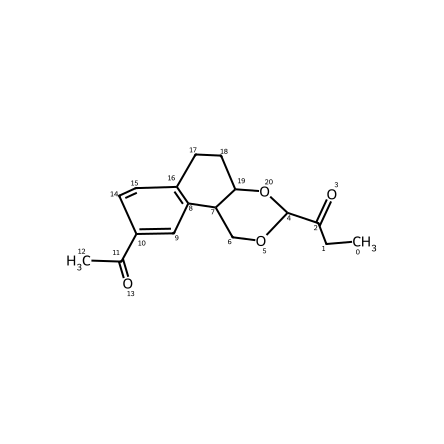 CCC(=O)C1OCC2c3cc(C(C)=O)ccc3CCC2O1